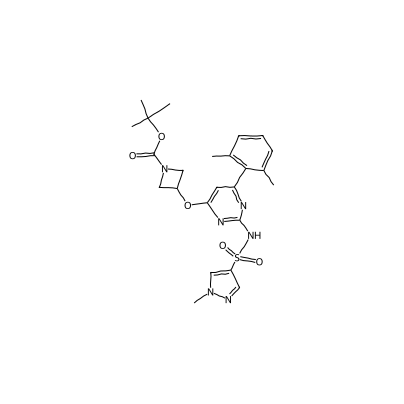 Cc1cccc(C)c1-c1cc(OC2CN(C(=O)OC(C)(C)C)C2)nc(NS(=O)(=O)c2cnn(C)c2)n1